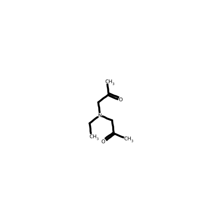 CCN(CC(C)=O)CC(C)=O